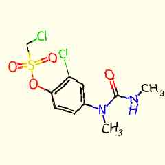 CNC(=O)N(C)c1ccc(OS(=O)(=O)CCl)c(Cl)c1